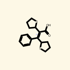 O=C(O)/C(=C(/c1ccccc1)C1CCCS1)C1CCCS1